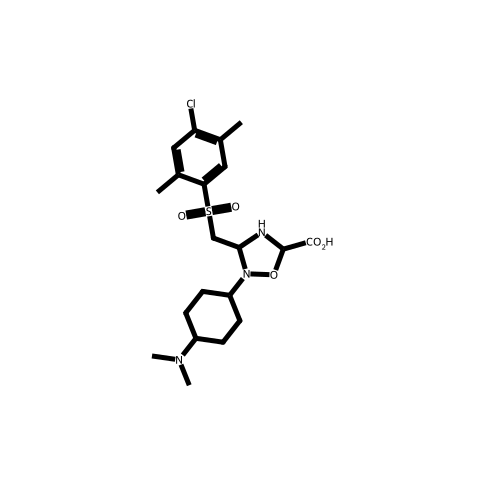 Cc1cc(S(=O)(=O)CC2NC(C(=O)O)ON2C2CCC(N(C)C)CC2)c(C)cc1Cl